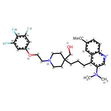 COc1ccc2ncc(N(C)C)c(CCCC3(CO)CCN(CCOc4cc(F)c(F)c(F)c4)CC3)c2c1